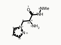 CNNC(=O)[C@@H](N)Cn1cccn1